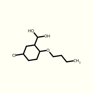 CCCCOC1CCC(Cl)CC1C(O)O